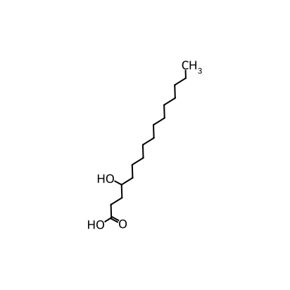 CCCCCCCCCCCCC(O)CCC(=O)O